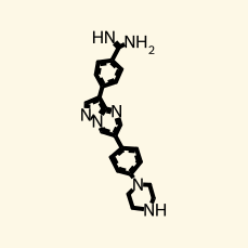 N=C(N)c1ccc(-c2cnn3cc(-c4ccc(N5CCNCC5)cc4)cnc23)cc1